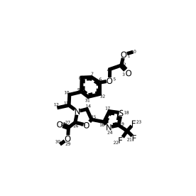 COC(=O)COc1ccc(CC(C)N2CC(c3csc(C(F)(F)F)n3)OC2C(=O)OC)cc1